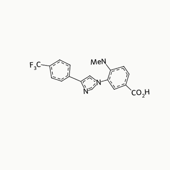 CNc1ccc(C(=O)O)cc1-n1cnc(-c2ccc(C(F)(F)F)cc2)c1